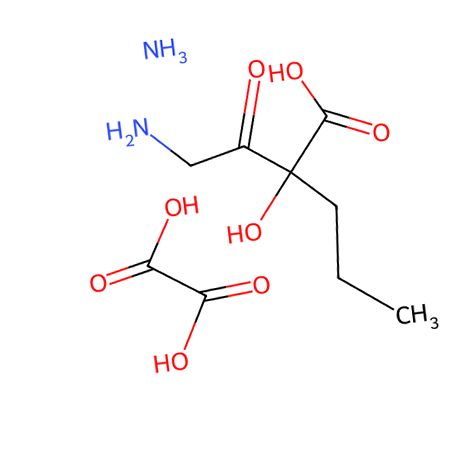 CCCC(O)(C(=O)O)C(=O)CN.N.O=C(O)C(=O)O